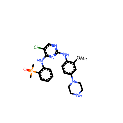 COc1cc(N2CCNCC2)ccc1Nc1ncc(Cl)c(Nc2ccccc2P(C)(C)=O)n1